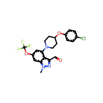 Cn1nc(C=O)c2c(N3CCC(Oc4ccc(Cl)cc4)CC3)cc(OC(F)(F)F)cc21